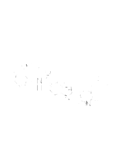 O=C(N[C@H]1CCOc2ccccc21)c1ccc2nc(-c3cncc(C4CC4)c3)sc2c1